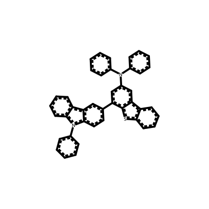 c1ccc(N(c2ccccc2)c2cc(-c3ccc4c(c3)c3ccccc3n4-c3ccccc3)c3sc4ccccc4c3c2)cc1